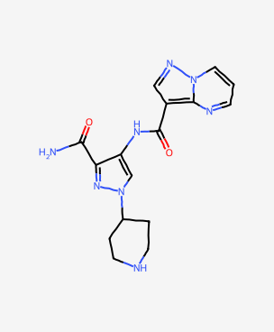 NC(=O)c1nn(C2CCNCC2)cc1NC(=O)c1cnn2cccnc12